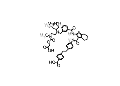 CCC(CC)N(CCN(C)C(=O)OCC(=O)O)Cc1cccc(C(=O)Nc2sc3c(c2C(=O)Nc2ccc(CCc4ccc(C(=O)O)cc4)cc2)CCCC3)c1.[MgH2]